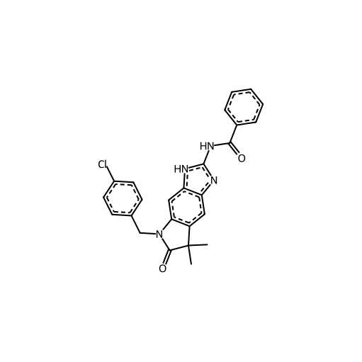 CC1(C)C(=O)N(Cc2ccc(Cl)cc2)c2cc3[nH]c(NC(=O)c4ccccc4)nc3cc21